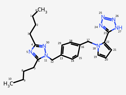 CCCCc1nc(CCCC)n(Cc2ccc(Cn3cccc3-c3nnn[nH]3)cc2)n1